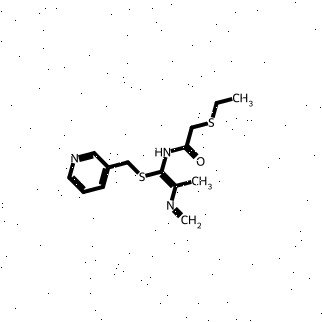 C=N/C(C)=C(/NC(=O)CSCC)SCc1cccnc1